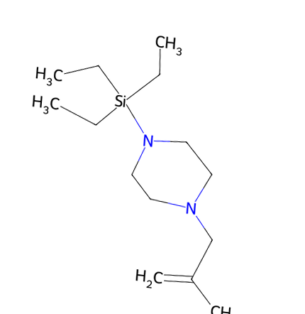 C=C(C)CN1CCN([Si](CC)(CC)CC)CC1